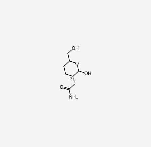 NC(=O)C[C@@H]1CCC(CO)OC1O